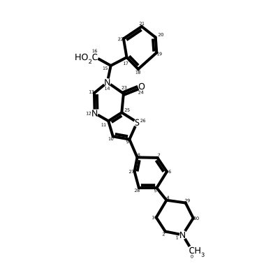 CN1CCC(c2ccc(-c3cc4ncn(C(C(=O)O)c5ccccc5)c(=O)c4s3)cc2)CC1